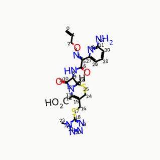 C=CCON=C(C(=O)NC1C(=O)N2C(C(=O)O)=C(CSc3nnnn3C)CS[C@@H]12)c1cccc(N)n1